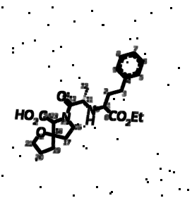 CCOC(=O)C(CCc1ccccc1)N[C@@H](C)C(=O)N1CCC2(CCCO2)C1C(=O)O